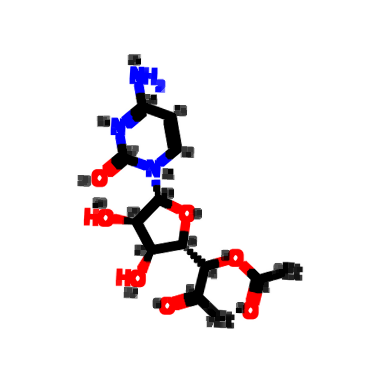 CCC(=O)OC(C(=O)CC)[C@H]1O[C@@H](n2ccc(N)nc2=O)[C@H](O)[C@@H]1O